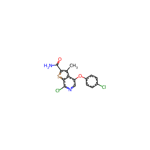 Cc1c(C(N)=O)sc2c(Cl)ncc(Oc3ccc(Cl)cc3)c12